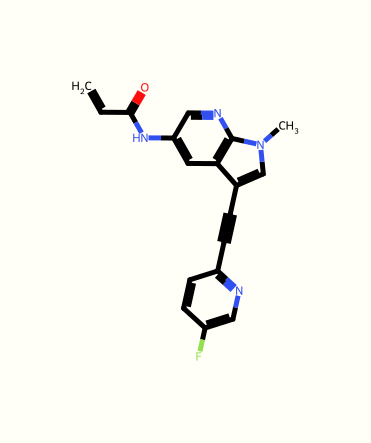 C=CC(=O)Nc1cnc2c(c1)c(C#Cc1ccc(F)cn1)cn2C